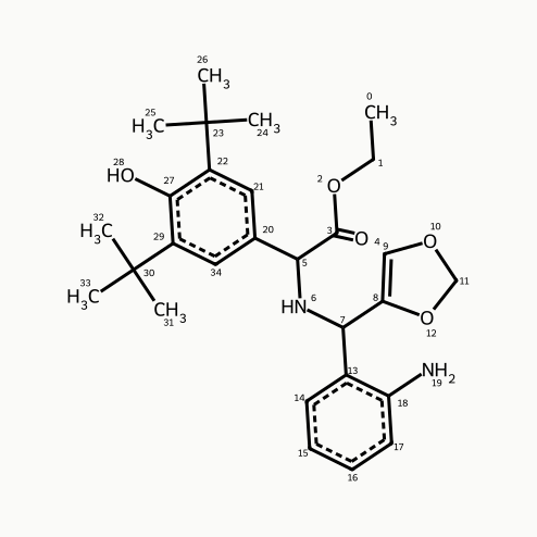 CCOC(=O)C(NC(C1=COCO1)c1ccccc1N)c1cc(C(C)(C)C)c(O)c(C(C)(C)C)c1